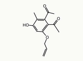 C=CCOc1cc(O)c(C)c(C(C)=O)c1C(C)=O